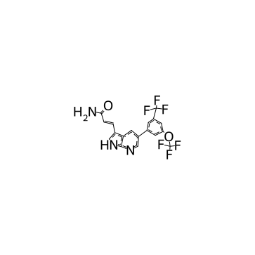 NC(=O)/C=C/c1c[nH]c2ncc(-c3cc(OC(F)(F)F)cc(C(F)(F)F)c3)cc12